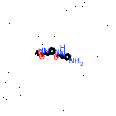 CC(C)(C)OC(=O)c1cc2cc(NC(=O)c3cc4cc(N)ccc4[nH]3)ccc2[nH]1